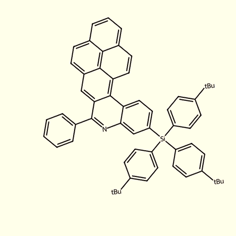 CC(C)(C)c1ccc([Si](c2ccc(C(C)(C)C)cc2)(c2ccc(C(C)(C)C)cc2)c2ccc3c(c2)nc(-c2ccccc2)c2cc4ccc5cccc6ccc(c23)c4c56)cc1